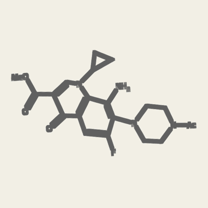 COC(=O)c1cn(C2CC2)c2c(N)c(N3CCN(C(C)=O)CC3)c(F)cc2c1=O